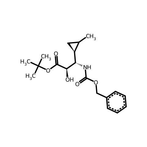 CC1C[C@@H]1[C@H](NC(=O)OCc1ccccc1)[C@@H](O)C(=O)OC(C)(C)C